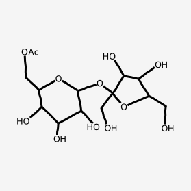 CC(=O)OCC1OC(OC2(CO)OC(CO)C(O)C2O)C(O)C(O)C1O